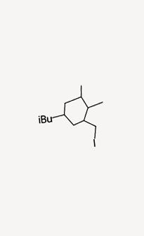 CCC(C)C1CC(C)C(C)C(CI)C1